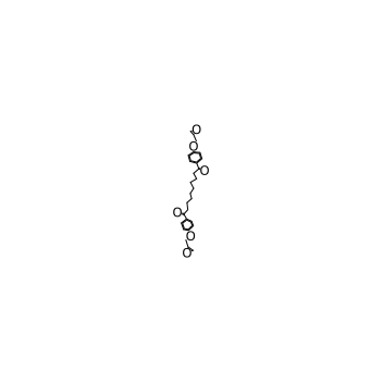 O=C(CCCCCCCCC(=O)c1ccc(OCC2CO2)cc1)c1ccc(OCC2CO2)cc1